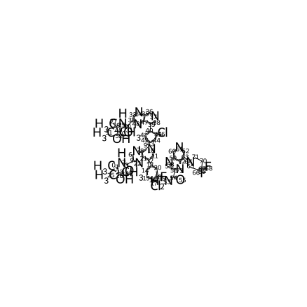 CC(NC(=O)c1cnc2cncc(-c3ccc(Cl)c(F)c3)c2n1)C(C)(C)O.CC(NC(=O)c1cnc2cncc(-c3ccccc3Cl)c2n1)C(C)(C)O.NC(=O)c1cnc2cncc(N3CCC(F)(F)CC3)c2n1